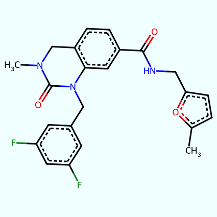 Cc1ccc(CNC(=O)c2ccc3c(c2)N(Cc2cc(F)cc(F)c2)C(=O)N(C)C3)o1